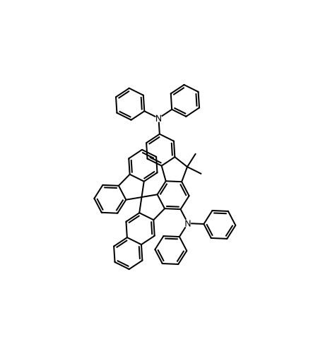 CC1(C)c2cc(N(c3ccccc3)c3ccccc3)ccc2-c2c1cc(N(c1ccccc1)c1ccccc1)c1c2C2(c3ccccc3-c3ccccc32)c2cc3ccccc3cc2-1